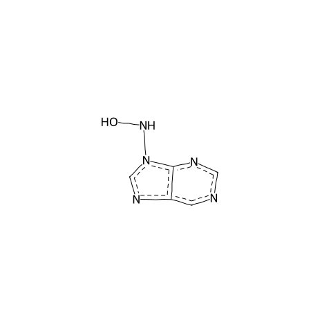 ONn1cnc2cncnc21